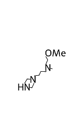 COCCCN(C)CCCCN1CCNCC1